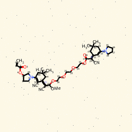 C=CC(=O)OC1CCN(C2=C(C#N)/C(=C(\C#N)C(OC)OCCOCCOCCOC(=O)/C(C#N)=C3/C=C(N4CCCC4)CC(C)(C)C3)CC(C)(C)C2)C1